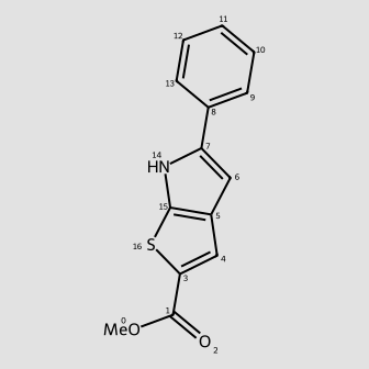 COC(=O)c1cc2cc(-c3ccccc3)[nH]c2s1